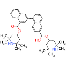 CC1(C)CC(OC(=O)c2cc(-c3cccc4cc(C(O)OC5CC(C)(C)NC(C)(C)C5)ccc34)cc3ccccc23)CC(C)(C)N1